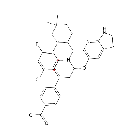 CC1(C)CCC(CN2CC=C(c3ccc(C(=O)O)cc3)CC2Oc2cnc3[nH]ccc3c2)=C(c2ccc(Cl)cc2F)C1